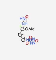 COc1cc(-c2cccc(-c3cccc(NC(=O)c4nn(C)c(=O)n(C)c4=O)c3C)c2C)cc(F)c1CN[C@@H]1CCC(=O)NC1